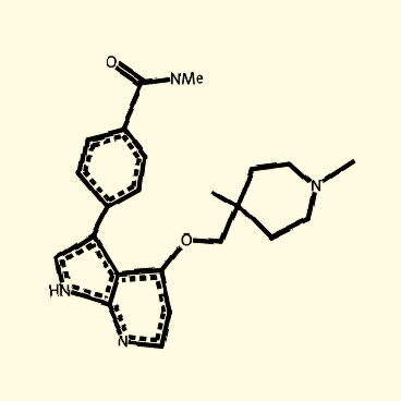 CNC(=O)c1ccc(-c2c[nH]c3nccc(OCC4(C)CCN(C)CC4)c23)cc1